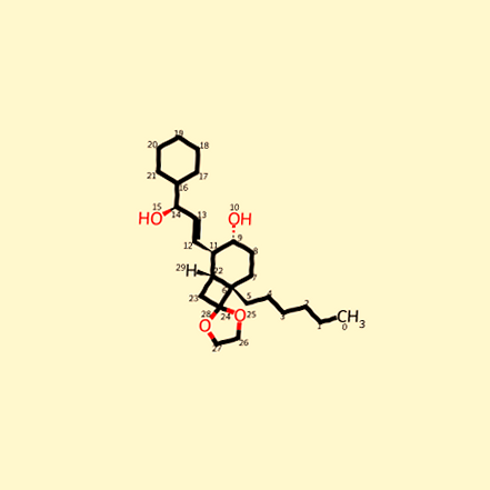 CCCCCC[C@]12CC[C@@H](O)[C@H](/C=C/[C@@H](O)C3CCCCC3)[C@H]1CC21OCCO1